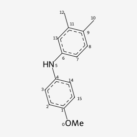 COc1ccc(Nc2ccc(C)c(C)c2)cc1